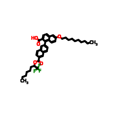 CCCCCCCCCCOc1ccc2c(-c3ccc4cc(C(=O)OC(CCCCCC)C(F)(F)F)ccc4c3)c(C(=O)O)ccc2c1